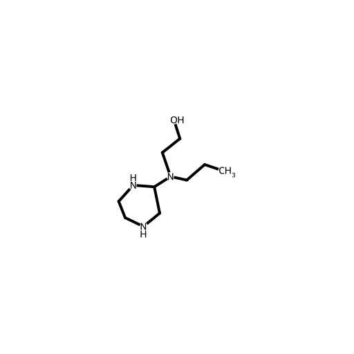 CCCN(CCO)C1CNCCN1